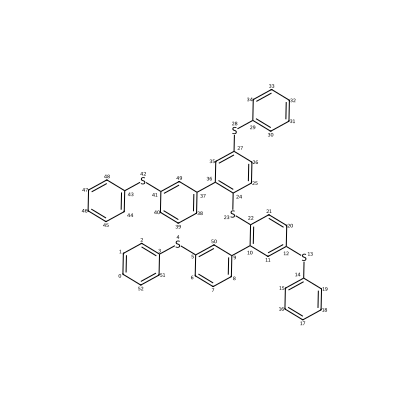 c1ccc(Sc2cccc(-c3cc(Sc4ccccc4)ccc3Sc3ccc(Sc4ccccc4)cc3-c3cccc(Sc4ccccc4)c3)c2)cc1